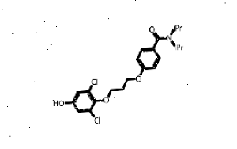 CC(C)N(C(=O)c1ccc(OCCCOc2c(Cl)cc(O)cc2Cl)cc1)C(C)C